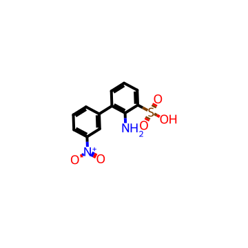 Nc1c(-c2cccc([N+](=O)[O-])c2)cccc1S(=O)(=O)O